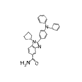 NC(=O)c1ccc2c(c1)nc(-c1ccc(N(c3ccccc3)c3ccccc3)cc1)n2C1CCCC1